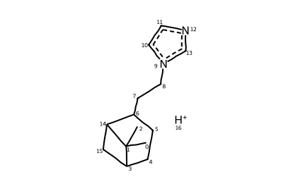 CC1(C)C2CCC(CCn3ccnc3)C1C2.[H+]